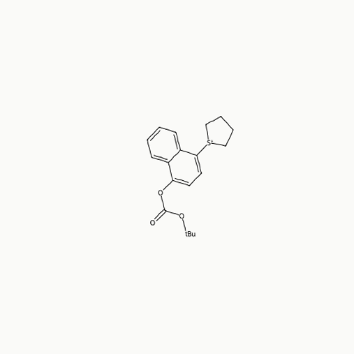 CC(C)(C)OC(=O)Oc1ccc([S+]2CCCC2)c2ccccc12